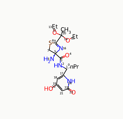 CCC[C@@H](NC(=O)[C@]1(N)CSC(C(C)(OCC)OCC)=N1)c1cc(O)cc(=O)[nH]1